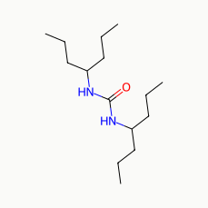 CCCC(CCC)NC(=O)NC(CCC)CCC